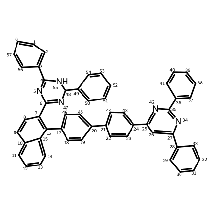 c1ccc(C2=NC(c3ccc4ccccc4c3-c3ccc(-c4ccc(-c5cc(-c6ccccc6)nc(-c6ccccc6)n5)cc4)cc3)=NC(c3ccccc3)N2)cc1